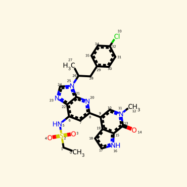 CCS(=O)(=O)Nc1cc(-c2cn(C)c(=O)c3[nH]ccc23)nc2c1ncn2C(C)Cc1ccc(Cl)cc1